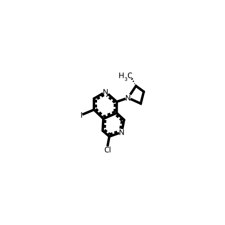 C[C@@H]1CCN1c1ncc(I)c2cc(Cl)ncc12